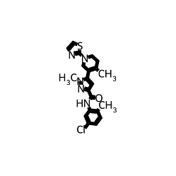 CC1=C(c2cc(C(=O)Nc3cc(Cl)ccc3C)nn2C)CN(c2nccs2)CC1